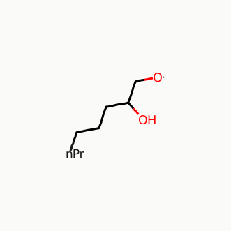 CCCCCCC(O)C[O]